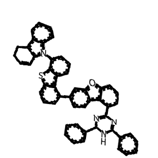 C1=Cc2c(c3ccccc3n2-c2cccc3c2sc2cccc(-c4ccc5c(c4)oc4cccc(C6=NC(c7ccccc7)NC(c7ccccc7)=N6)c45)c23)CC1